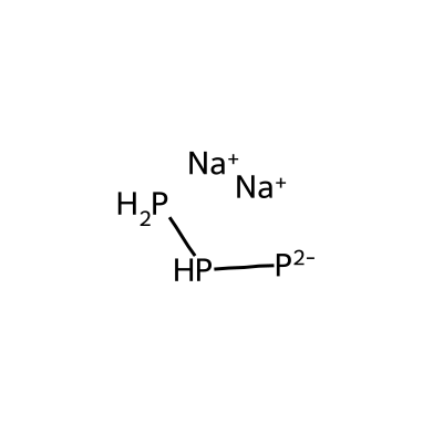 [Na+].[Na+].[P-2]PP